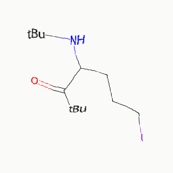 CC(C)(C)NC(CCCI)C(=O)C(C)(C)C